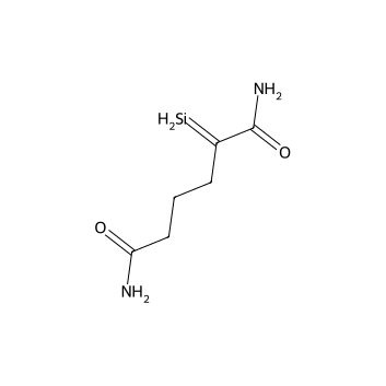 NC(=O)CCCC(=[SiH2])C(N)=O